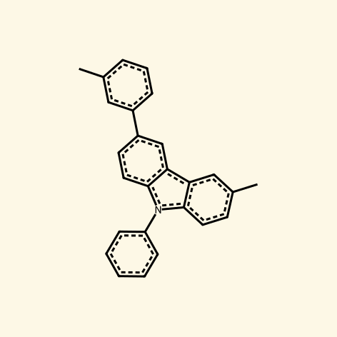 Cc1cccc(-c2ccc3c(c2)c2cc(C)ccc2n3-c2ccccc2)c1